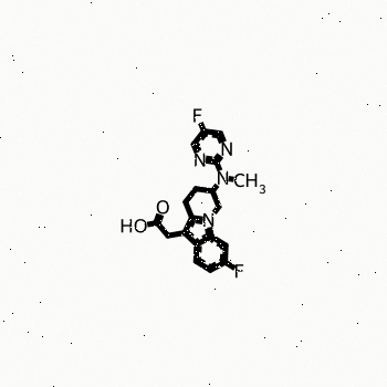 CN(c1ncc(F)cn1)C1CCc2c(CC(=O)O)c3ccc(F)cc3n2C1